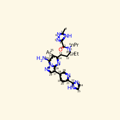 CCCN(C(=O)c1nnc(C)[nH]1)[C@H](CC)CCc1nc2c(-c3ccc(-c4ncc[nH]4)nc3)cnn2c(N)c1C(C)=O